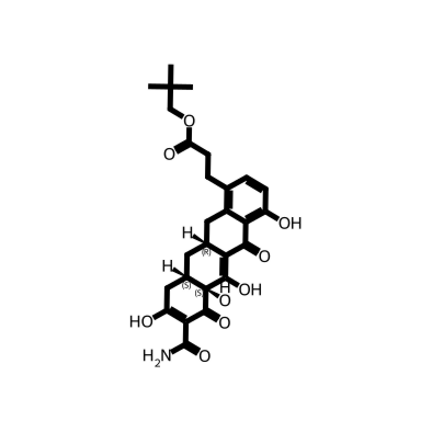 CC(C)(C)COC(=O)CCc1ccc(O)c2c1C[C@H]1C[C@H]3CC(O)=C(C(N)=O)C(=O)[C@@]3(O)C(O)=C1C2=O